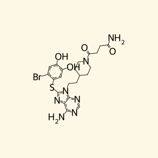 NC(=O)CCC(=O)N1CCC(CCn2c(Sc3cc(O)c(O)cc3Br)nc3c(N)ncnc32)CC1